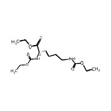 CCOC(=O)NCCCC[C@H](NC(=O)OCC)C(=O)OCC